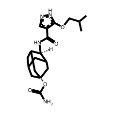 CC(C)COc1[nH]ncc1C(=O)N[C@H]1C2CC3CC1C[C@](OC(N)=O)(C3)C2